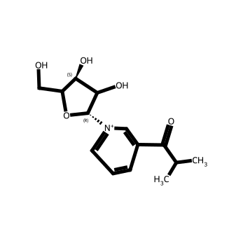 CC(C)C(=O)c1ccc[n+]([C@@H]2OC(CO)[C@@H](O)C2O)c1